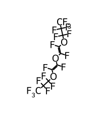 FC(OC(F)=C(F)OC(F)(F)C(F)(F)C(F)(F)F)=C(F)OC(F)(F)C(F)(F)C(F)(F)F